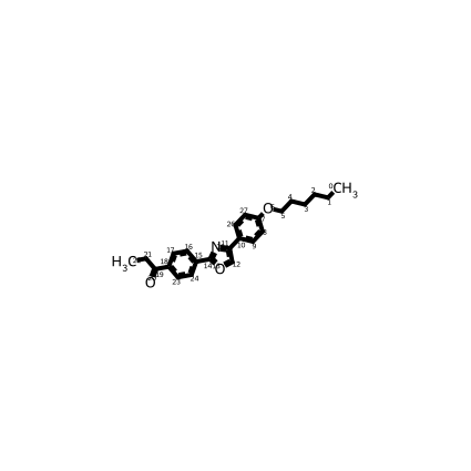 CCCCCCOc1ccc(-c2coc(-c3ccc(C(=O)CC)cc3)n2)cc1